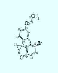 CCOc1ccc(C2(c3cc(Br)ccc3Cl)CC2)cc1